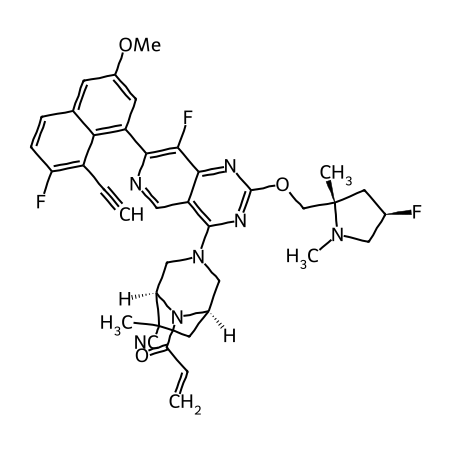 C#Cc1c(F)ccc2cc(OC)cc(-c3ncc4c(N5C[C@H]6CC(C)(C#N)[C@@H](C5)N6C(=O)C=C)nc(OC[C@]5(C)C[C@@H](F)CN5C)nc4c3F)c12